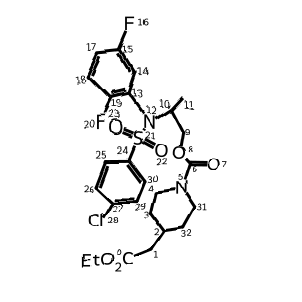 CCOC(=O)CC1CCN(C(=O)OCC(C)N(c2cc(F)ccc2F)S(=O)(=O)c2ccc(Cl)cc2)CC1